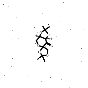 CC1(C)O[C@H]2COC3(COC(C)(C)O3)C(=O)[C@H]2O1